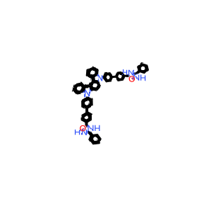 c1ccc(C2NOC(c3ccc(-c4ccc(-n5c6ccccc6c6c7c8ccccc8n(-c8ccc(-c9ccc(C%10NC(c%11ccccc%11)NO%10)cc9)cc8)c7ccc65)cc4)cc3)N2)cc1